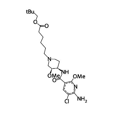 COc1nc(N)c(Cl)cc1C(=O)N[C@@H]1CCN(CCCCCC(=O)OCC(C)(C)C)C[C@@H]1OC